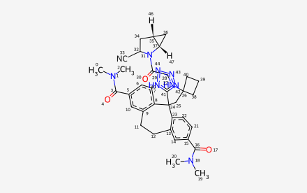 CN(C)C(=O)c1ccc2c(c1)CCc1cc(C(=O)N(C)C)ccc1C2(CC1(NCC(=O)N2C(C#N)C[C@@H]3C[C@@H]32)CCC1)c1nnn[nH]1